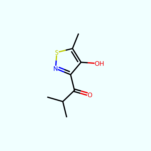 Cc1snc(C(=O)C(C)C)c1O